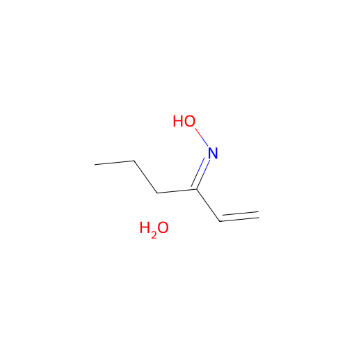 C=CC(CCC)=NO.O